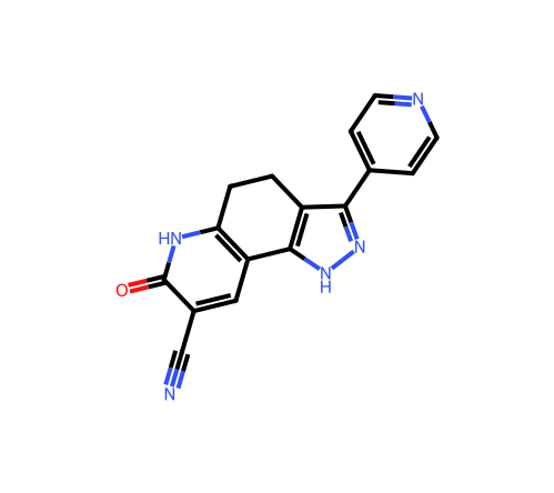 N#Cc1cc2c([nH]c1=O)CCc1c(-c3ccncc3)n[nH]c1-2